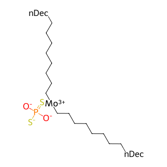 CCCCCCCCCCCCCCCCC[CH2][Mo+3][CH2]CCCCCCCCCCCCCCCCC.[O-]P([O-])(=S)[S-]